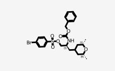 C[C@@H]1CC(C[C@@H](COS(=O)(=O)c2ccc(Br)cc2)NC(=O)OCc2ccccc2)C[C@H](C)O1